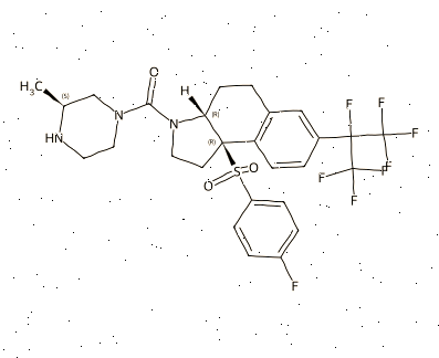 C[C@H]1CN(C(=O)N2CC[C@@]3(S(=O)(=O)c4ccc(F)cc4)c4ccc(C(F)(C(F)(F)F)C(F)(F)F)cc4CC[C@@H]23)CCN1